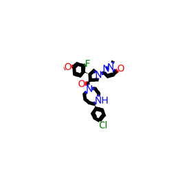 COc1ccc([C@@H]2CN(c3ccc(=O)n(C)n3)C[C@H]2C(=O)N2CCC[C@@H](c3ccc(Cl)cc3)NCC2)c(F)c1